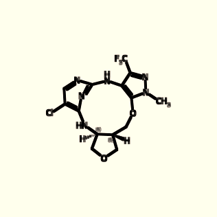 Cn1nc(C(F)(F)F)c2c1OC[C@@H]1COC[C@H]1Nc1nc(ncc1Cl)N2